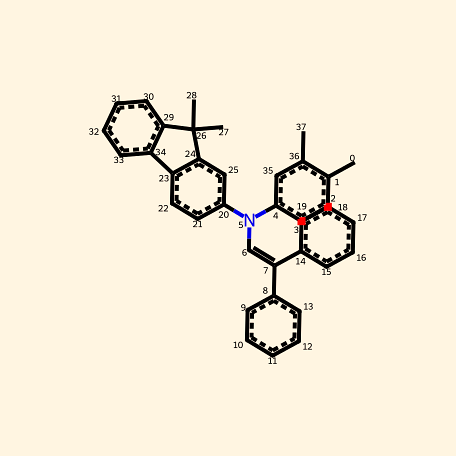 Cc1ccc(N(C=C(c2ccccc2)c2ccccc2)c2ccc3c(c2)C(C)(C)c2ccccc2-3)cc1C